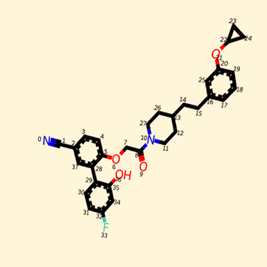 N#Cc1ccc(OCC(=O)N2CCC(CCc3cccc(OC4CC4)c3)CC2)c(-c2ccc(F)cc2O)c1